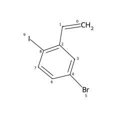 C=Cc1cc(Br)ccc1I